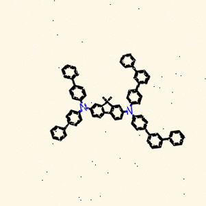 CC1(C)c2cc(N(c3ccc(-c4ccccc4)cc3)c3ccc(-c4ccccc4)cc3)ccc2-c2ccc(N(c3ccc(-c4cccc(-c5ccccc5)c4)cc3)c3ccc(-c4cccc(-c5ccccc5)c4)cc3)cc21